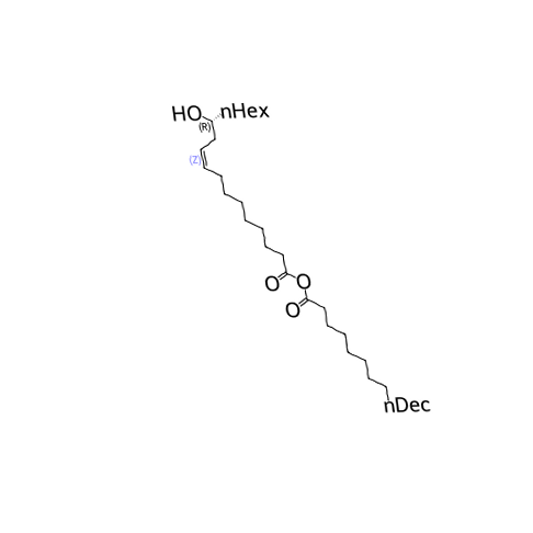 CCCCCCCCCCCCCCCCCC(=O)OC(=O)CCCCCCC/C=C\C[C@H](O)CCCCCC